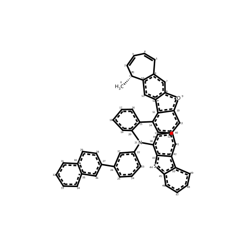 C[C@@H]1C=CC=Cc2cc3oc4cccc(-c5ccccc5N(c5cccc(-c6ccc7ccccc7c6)c5)c5cccc6c5sc5ccccc56)c4c3cc21